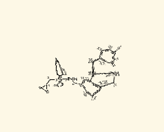 O=S(=O)(CC1CC1)NCc1ccc2c(c1)C(Cc1ccccc1)NC2